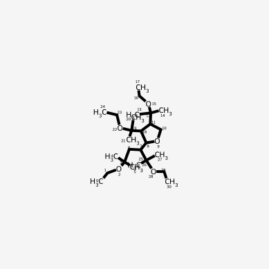 CCOC(C)(C)CC(C1OCC(C(C)(C)OCC)C1C(C)(C)OCC)C(C)(C)OCC